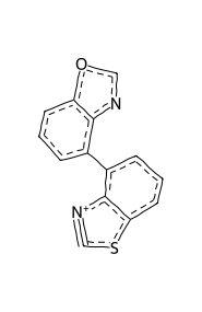 c1sc2cccc(-c3cccc4ocnc34)c2[n+]#1